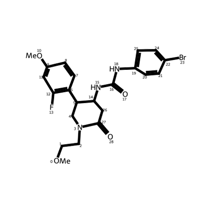 COCCN1CC(c2ccc(OC)cc2F)C(NC(=O)Nc2ccc(Br)cc2)CC1=O